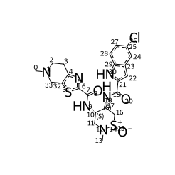 CN1CCc2nc(C(=O)N[C@H]3CN(C)[S+]([O-])C[C@H]3NC(=O)c3cc4cc(Cl)ccc4[nH]3)sc2C1